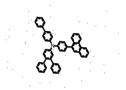 c1ccc(-c2ccc(N(c3ccc(-c4cc5ccccc5c5ccccc45)cc3)c3ccc(-c4ccccc4)c(-c4ccccc4)c3)cc2)cc1